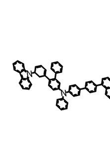 C1=CC(n2c3ccccc3c3ccccc32)CC(c2ccc(N(c3ccccc3)c3ccc(-c4ccc(-c5cccc6ccccc56)cc4)cc3)cc2-c2ccccc2)=C1